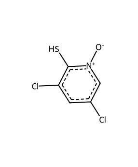 [O-][n+]1cc(Cl)cc(Cl)c1S